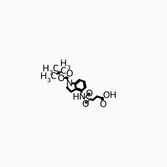 CC(C)(C)OC(=O)N1CCc2c(NS(=O)(=O)CCC(=O)O)cccc21